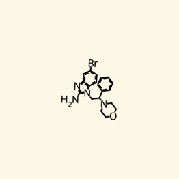 Nc1nc2cc(Br)ccc2n1CC(c1ccccc1)N1CCOCC1